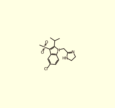 CC(C)c1c(S(C)(=O)=O)c2cc(Cl)ccc2n1CC1=NCCN1